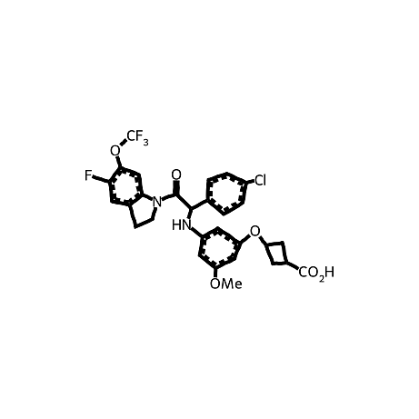 COc1cc(NC(C(=O)N2CCc3cc(F)c(OC(F)(F)F)cc32)c2ccc(Cl)cc2)cc(OC2CC(C(=O)O)C2)c1